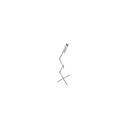 CC(C)(C)CSCC#N